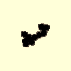 c1ccc(-c2ccc(N(c3ccc(-c4ccc(-c5cccc(-n6c7ccccc7c7ccccc76)c5)cc4)cc3)c3ccccc3-c3cccc4oc5ccccc5c34)cc2)cc1